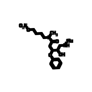 CN(CCCCO[N+](=O)[O-])C(=O)CC(Oc1ccccc1)C(O)CNC(C)(C)C